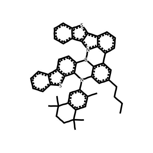 CCCCc1cc2c3c(c1)N(c1cc4c(cc1C)C(C)(C)CCC4(C)C)c1c(ccc4c1sc1ccccc14)B3n1c3c-2cccc3c2sc3ccccc3c21